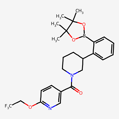 CC1(C)OB(c2ccccc2C2CCCN(C(=O)c3ccc(OCC(F)(F)F)nc3)C2)OC1(C)C